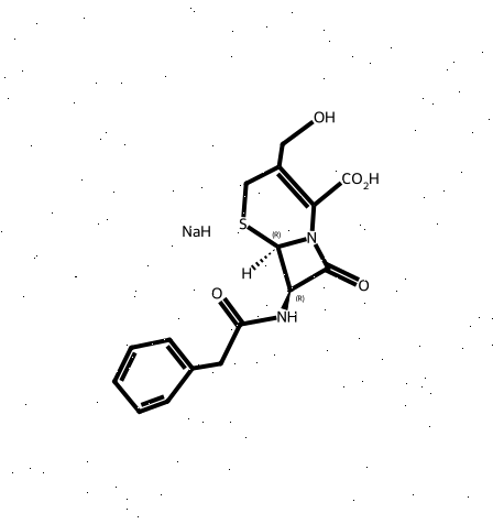 O=C(Cc1ccccc1)N[C@@H]1C(=O)N2C(C(=O)O)=C(CO)CS[C@H]12.[NaH]